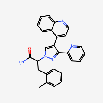 Cc1ccccc1CC(C(N)=O)n1cc(-c2ccnc3ccccc23)c(-c2ccccn2)n1